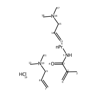 C=C(C)C(=O)NCCC.C=CCN(C)C.C=CCN(C)C.Cl